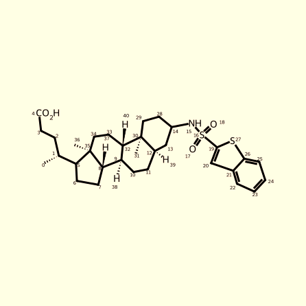 C[C@H](CCC(=O)O)C1CC[C@H]2[C@@H]3CC[C@@H]4CC(NS(=O)(=O)c5cc6ccccc6s5)CC[C@]4(C)[C@H]3CC[C@]12C